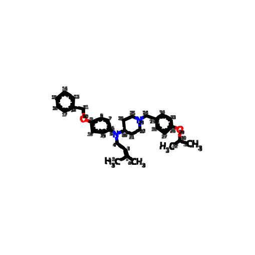 CC(C)=CCN(c1ccc(OCc2ccccc2)cc1)C1CCN(Cc2ccc(OC(C)C)cc2)CC1